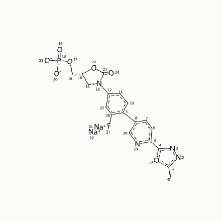 Cc1nnc(-c2ccc(-c3ccc(N4C[C@H](COP(=O)([O-])[O-])OC4=O)cc3F)cn2)o1.[Na+].[Na+]